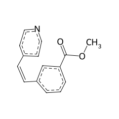 COC(=O)c1cccc(/C=C\c2ccncc2)c1